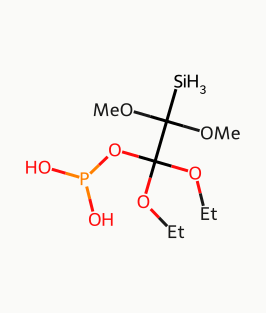 CCOC(OCC)(OP(O)O)C([SiH3])(OC)OC